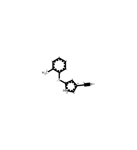 Cc1ccccc1Sc1cc(C#N)c[nH]1